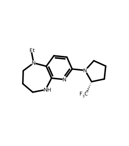 CCN1CCCNc2nc(N3CCC[C@@H]3C(F)(F)F)ccc21